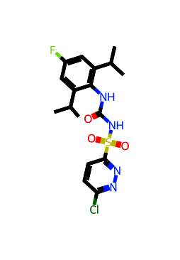 CC(C)c1cc(F)cc(C(C)C)c1NC(=O)NS(=O)(=O)c1ccc(Cl)nn1